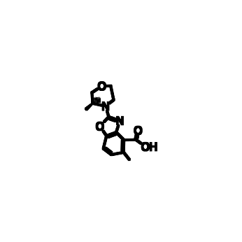 Cc1ccc2oc(N3CCOC[C@@H]3C)nc2c1C(=O)O